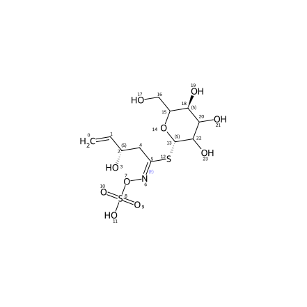 C=C[C@@H](O)C/C(=N\OS(=O)(=O)O)S[C@@H]1OC(CO)[C@@H](O)C(O)C1O